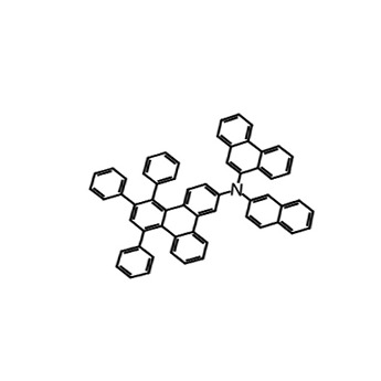 c1ccc(-c2cc(-c3ccccc3)c3c4ccccc4c4cc(N(c5ccc6ccccc6c5)c5cc6ccccc6c6ccccc56)ccc4c3c2-c2ccccc2)cc1